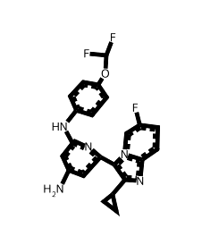 Nc1cc(Nc2ccc(OC(F)F)cc2)nc(-c2c(C3CC3)nc3ccc(F)cn23)c1